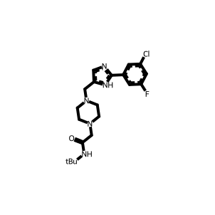 CC(C)(C)NC(=O)CN1CCN(Cc2cnc(-c3cc(F)cc(Cl)c3)[nH]2)CC1